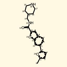 Cc1ccc(-c2ccc3cc(C(=O)NCC4CCNCC4)oc3c2)o1